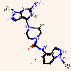 C[C@H]1CN(C(=O)Nc2cccc3c2cnn3C)CCN1c1nc(N)nc2c1cnn2C